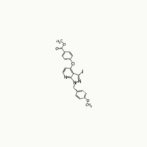 COC(=O)c1ccc(Oc2ccnc3c2c(I)nn3Cc2ccc(OC)cc2)cc1